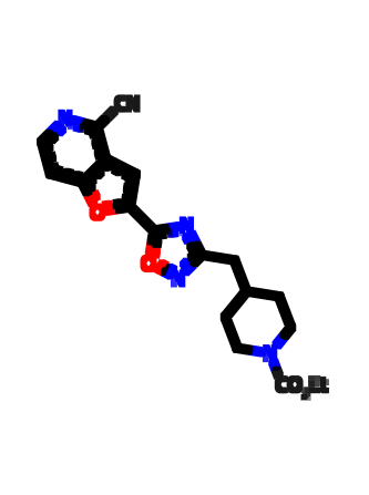 CCOC(=O)N1CCC(Cc2noc(-c3cc4c(C#N)nccc4o3)n2)CC1